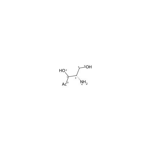 CC(=O)C(O)[C@@H](N)CO